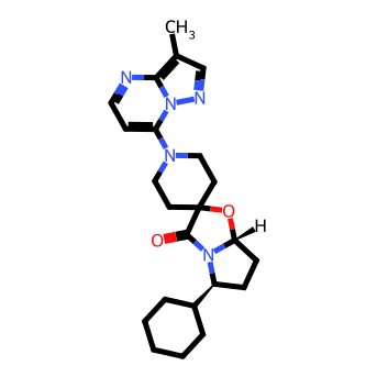 Cc1cnn2c(N3CCC4(CC3)O[C@@H]3CC[C@@H](C5CCCCC5)N3C4=O)ccnc12